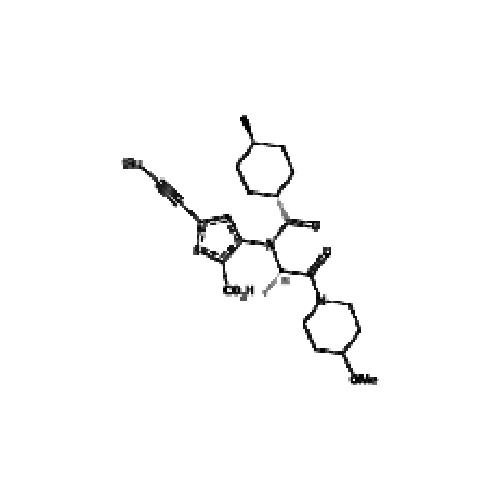 COC1CCN(C(=O)[C@H](C)N(c2cc(C#CC(C)(C)C)sc2C(=O)O)C(=O)[C@H]2CC[C@H](C)CC2)CC1